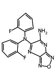 Nc1nc2nonc2nc1N(c1ccccc1F)c1ccccc1F